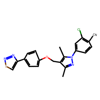 Cc1nn(-c2ccc(C#N)c(Cl)c2)c(C)c1COc1ccc(-c2csnn2)cc1